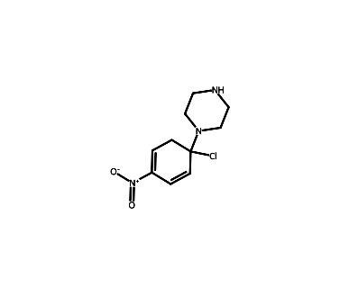 O=[N+]([O-])C1=CCC(Cl)(N2CCNCC2)C=C1